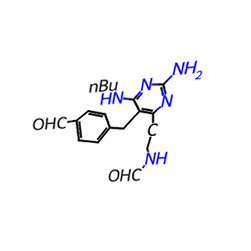 CCCCNc1nc(N)nc(CCNC=O)c1Cc1ccc(C=O)cc1